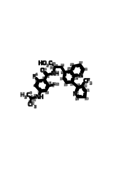 C[C@@H](Nc1cc(F)c(C(=O)N[C@@H](Cc2ccc(-c3ncccc3C(F)(F)F)c3ncccc23)C(=O)O)c(F)c1)C(F)(F)F